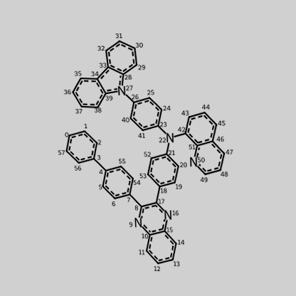 c1ccc(-c2ccc(-c3nc4ccccc4nc3-c3ccc(N(c4ccc(-n5c6ccccc6c6ccccc65)cc4)c4cccc5cccnc45)cc3)cc2)cc1